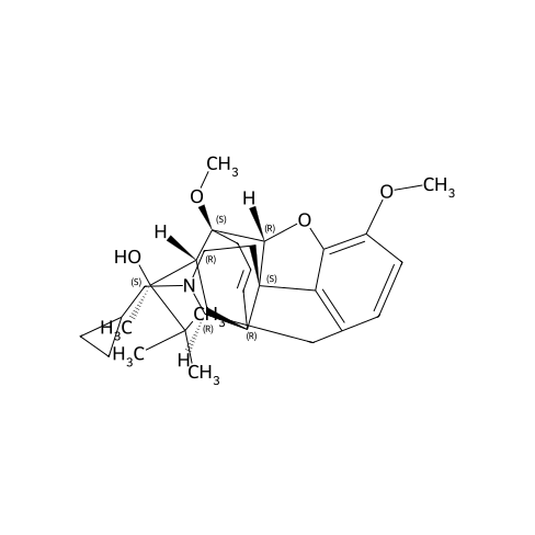 COc1ccc2c3c1O[C@H]1[C@]4(OC)CC=C[C@@]5(C[C@@H]4[C@](C)(O)C(C)(C)C)[C@@H](C2)N(CC2CC2)CC[C@]315